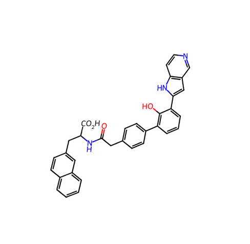 O=C(Cc1ccc(-c2cccc(-c3cc4cnccc4[nH]3)c2O)cc1)NC(Cc1ccc2ccccc2c1)C(=O)O